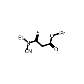 CCN(C#N)C(=S)CC(=O)OC(C)C